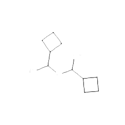 CCCC(OC(CCC)C1CCC1)C1CCC1